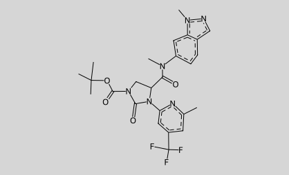 Cc1cc(C(F)(F)F)cc(N2C(=O)N(C(=O)OC(C)(C)C)CC2C(=O)N(C)c2ccc3cnn(C)c3c2)n1